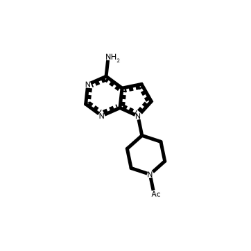 CC(=O)N1CCC(n2ccc3c(N)ncnc32)CC1